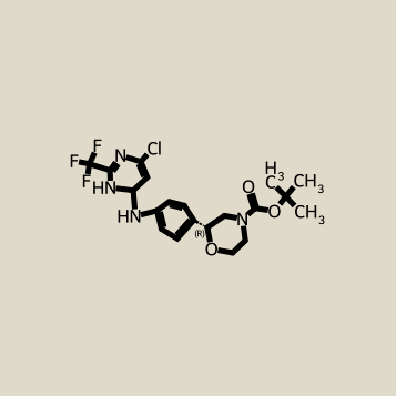 CC(C)(C)OC(=O)N1CCO[C@H](c2ccc(NC3C=C(Cl)N=C(C(F)(F)F)N3)cc2)C1